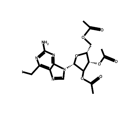 CC(=O)OC[C@H]1O[C@@H](n2cnc3c(CI)nc(N)nc32)C(OC(C)=O)[C@H]1OC(C)=O